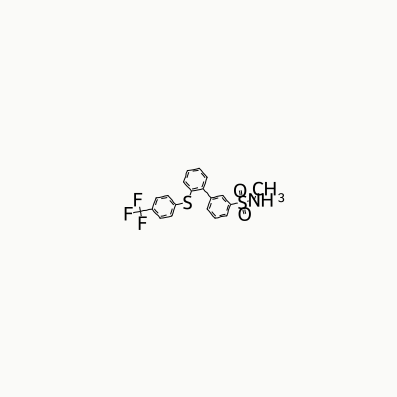 CNS(=O)(=O)c1cccc(-c2ccccc2Sc2ccc(C(F)(F)F)cc2)c1